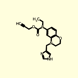 C#CCOC(=O)N(CC)c1ccc2c(c1)N(Cc1c[nH]cn1)CCO2